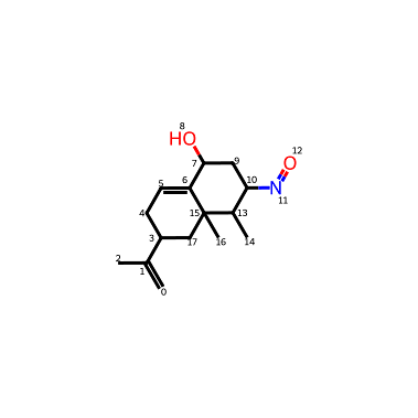 C=C(C)C1CC=C2C(O)CC(N=O)C(C)C2(C)C1